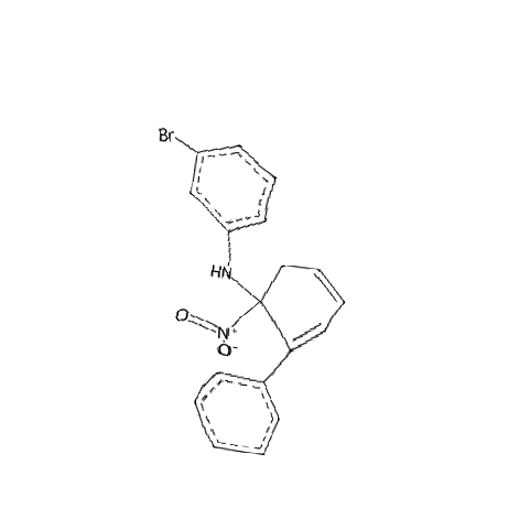 O=[N+]([O-])C1(Nc2cccc(Br)c2)CC=CC=C1c1ccccc1